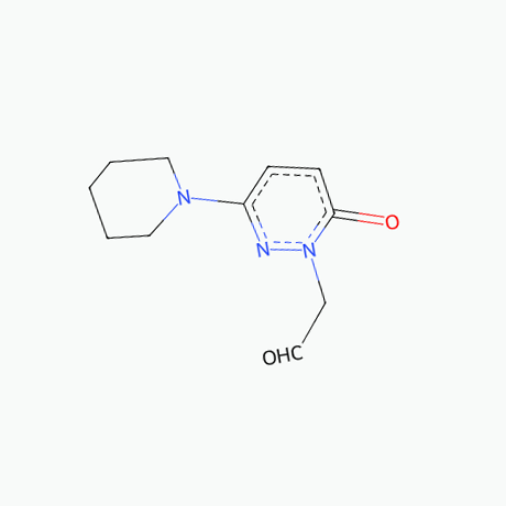 O=CCn1nc(N2CCCCC2)ccc1=O